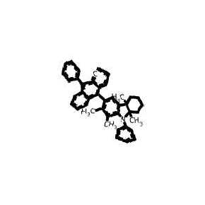 Cc1c(-c2c3ccccc3c(-c3ccccc3)c3ccccc23)cc2c(c1C)N(c1ccccc1)C1(C)CCCCC21C